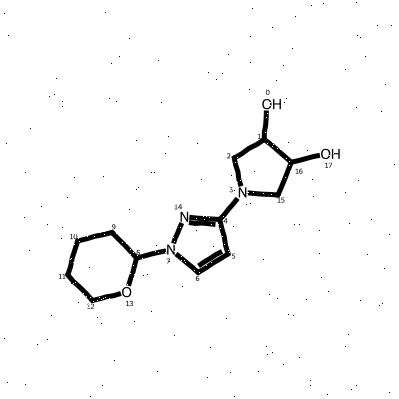 OC1CN(c2ccn(C3CCCCO3)n2)CC1O